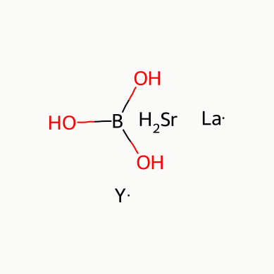 OB(O)O.[La].[SrH2].[Y]